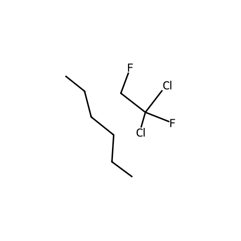 CCCCCC.FCC(F)(Cl)Cl